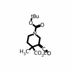 CCOC(=O)C1(C)CCN(C(=O)OC(C)(C)C)CC1=C=O